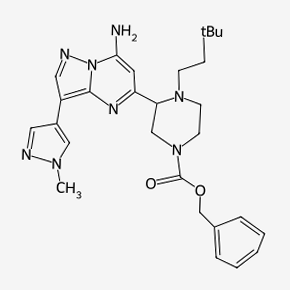 Cn1cc(-c2cnn3c(N)cc(C4CN(C(=O)OCc5ccccc5)CCN4CCC(C)(C)C)nc23)cn1